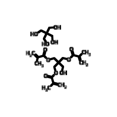 C=C(C)C(=O)OCC(CO)(COC(=O)C(=C)C)COC(=O)C(=C)C.OCC(CO)(CO)CO